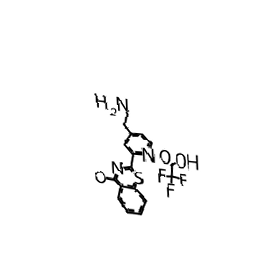 NCCc1ccnc(-c2nc(=O)c3ccccc3s2)c1.O=C(O)C(F)(F)F